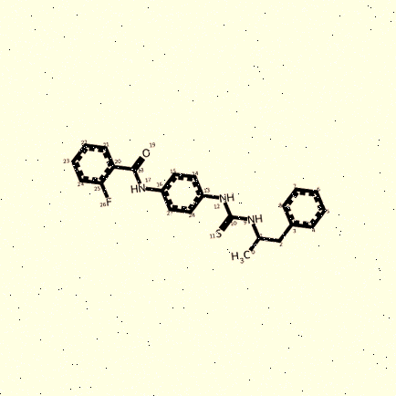 CC(Cc1ccccc1)NC(=S)Nc1ccc(NC(=O)c2ccccc2F)cc1